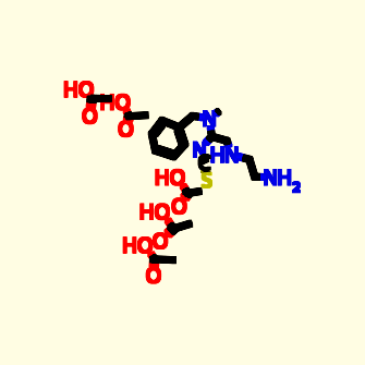 CC(=O)O.CC(=O)O.CC(=O)O.CC(=O)O.CC(=O)O.CN(Cc1ccccc1)C(CNCCN)N=C=S